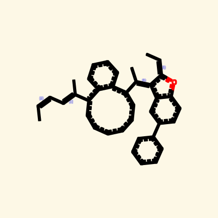 C/C=C\C=C(/C)c1ccccccc(/C(C)=c2/c(=C\C)oc3ccc(-c4ccccc4)cc23)c2ccccc12